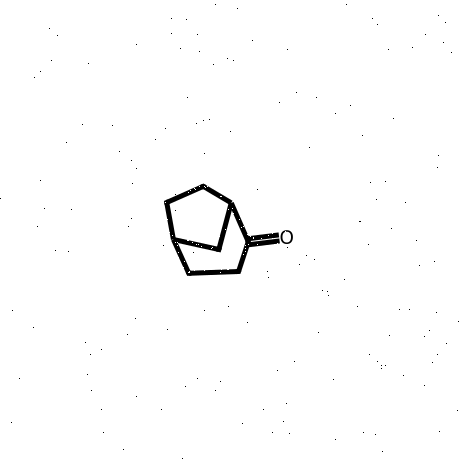 O=C1CCC2CCC1C2